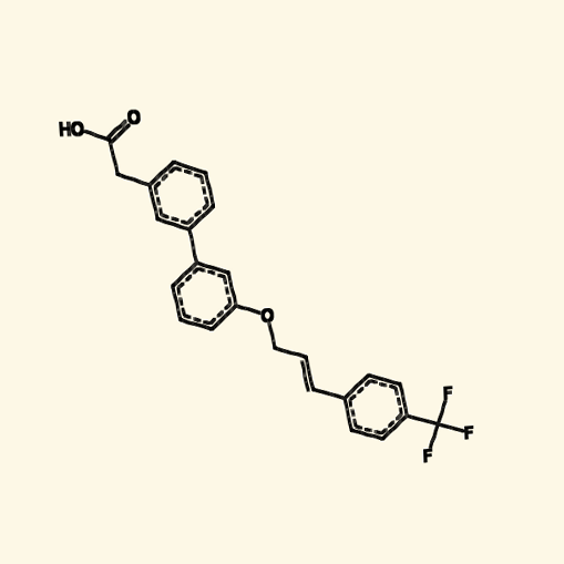 O=C(O)Cc1cccc(-c2cccc(OC/C=C/c3ccc(C(F)(F)F)cc3)c2)c1